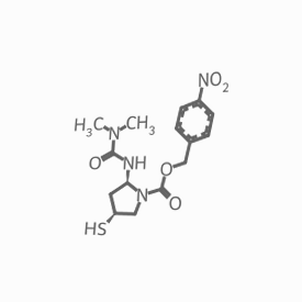 CN(C)C(=O)N[C@@H]1C[C@H](S)CN1C(=O)OCc1ccc([N+](=O)[O-])cc1